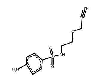 C#CCOCCNS(=O)(=O)c1ccc(N)cc1